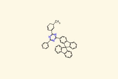 CC1C=C(c2nc(-c3ccccc3)nc(-c3ccc4c(c3)C3(c5ccccc5-c5ccccc53)c3ccccc3-4)n2)C=CC1